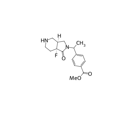 COC(=O)c1ccc(C(C)N2C[C@@H]3CNCC[C@]3(F)C2=O)cc1